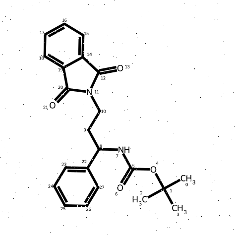 CC(C)(C)OC(=O)NC(CCN1C(=O)c2ccccc2C1=O)c1ccccc1